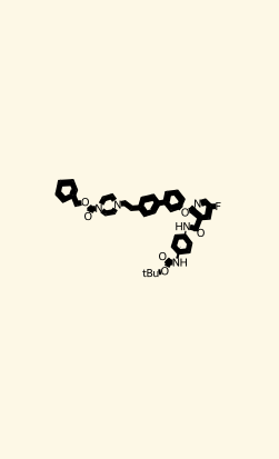 CC(C)(C)OC(=O)N[C@H]1CC[C@H](NC(=O)c2cc(F)cnc2Oc2cccc(-c3ccc(CCN4CCN(C(=O)OCc5ccccc5)CC4)cc3)c2)CC1